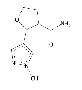 Cn1cc(C2OCCC2C(N)=O)cn1